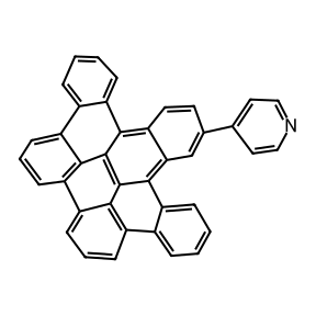 c1ccc2c(c1)c1cccc3c4cccc5c6ccccc6c6c7cc(-c8ccncc8)ccc7c2c(c13)c6c54